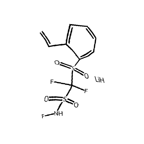 C=Cc1ccccc1S(=O)(=O)C(F)(F)S(=O)(=O)NF.[LiH]